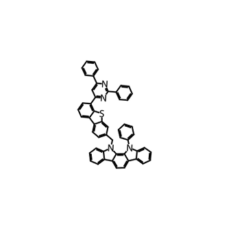 c1ccc(-c2cc(-c3cccc4c3sc3cc(Cn5c6ccccc6c6ccc7c8ccccc8n(-c8ccccc8)c7c65)ccc34)nc(-c3ccccc3)n2)cc1